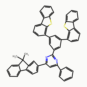 CC1(C)c2ccccc2-c2ccc(-c3cc(-c4ccccc4)nc(-c4cc(-c5cccc6c5sc5ccccc56)cc(-c5cccc6c5sc5ccccc56)c4)n3)cc21